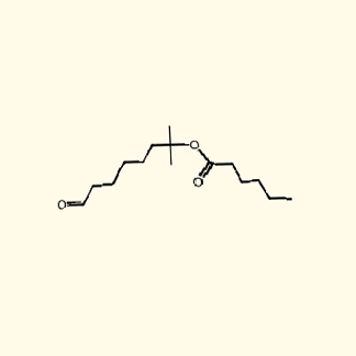 CCCCCC(=O)OC(C)(C)CCCCCC=O